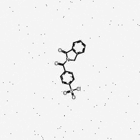 O=C(c1ccc(S(=O)(=O)Cl)cc1)N1Cc2ccccc2C1=O